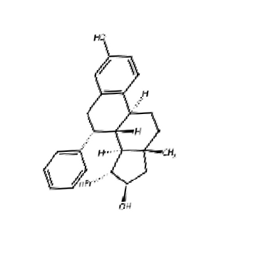 CCC[C@@H]1[C@H]2[C@H]3[C@H](CC[C@]2(C)C[C@H]1O)c1ccc(O)cc1C[C@H]3c1ccccc1